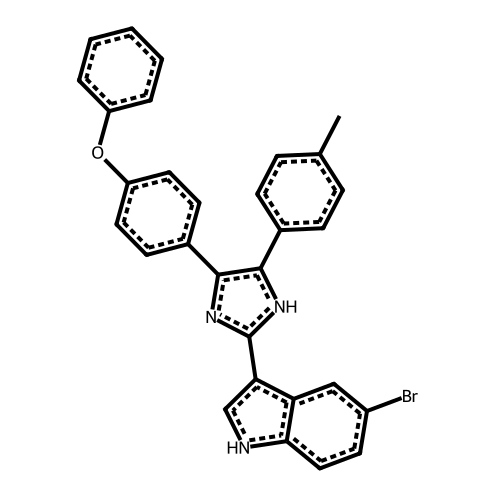 Cc1ccc(-c2[nH]c(-c3c[nH]c4ccc(Br)cc34)nc2-c2ccc(Oc3ccccc3)cc2)cc1